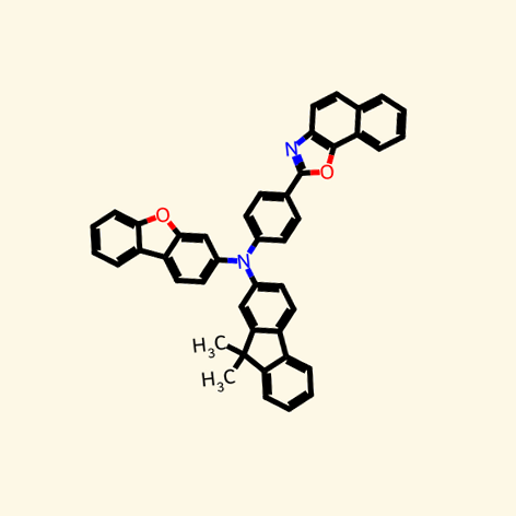 CC1(C)c2ccccc2-c2ccc(N(c3ccc(-c4nc5ccc6ccccc6c5o4)cc3)c3ccc4c(c3)oc3ccccc34)cc21